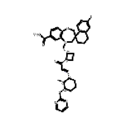 COC(=O)c1ccc2c(c1)N(C[C@@H]1CC[C@H]1C(=O)/C=C/[C@@H]1CCC[C@@H](Sc3ncccn3)[C@H]1C)CC1(CCCc3cc(Cl)ccc31)CO2